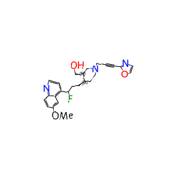 COc1ccc2nccc(C(F)CC[C@@H]3CCN(CC#Cc4ncco4)C[C@@H]3CO)c2c1